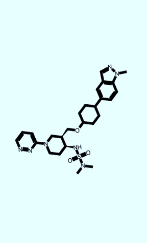 CN(C)S(=O)(=O)N[C@H]1CCN(c2cccnn2)C[C@H]1COC1CCC(c2ccc3c(cnn3C)c2)CC1